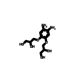 Nc1cc(OCC(O)CO)c(OCC(O)CO)cc1N